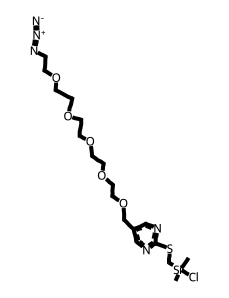 C[Si](C)(Cl)CSc1ncc(COCCOCCOCCOCCOCCN=[N+]=[N-])cn1